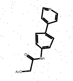 CC(=O)OCC(=O)Nc1ccc(-c2ccncc2)cc1